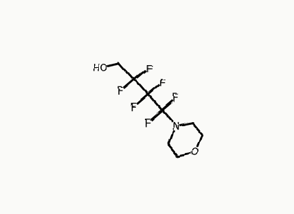 OCC(F)(F)C(F)(F)C(F)(F)N1CCOCC1